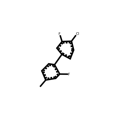 Cc1ccc(-c2ccc(Cl)c(F)c2)c(F)c1